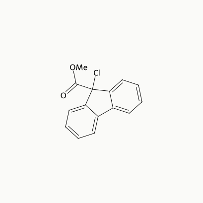 COC(=O)C1(Cl)c2ccccc2-c2ccccc21